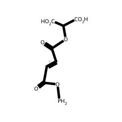 O=C(/C=C/C(=O)OC(C(=O)O)C(=O)O)OP